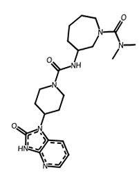 CN(C)C(=O)N1CCCCC(NC(=O)N2CCC(n3c(=O)[nH]c4ncccc43)CC2)C1